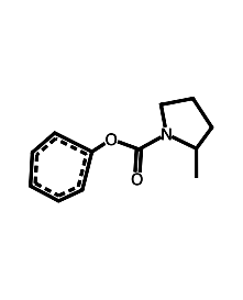 CC1CCCN1C(=O)Oc1ccccc1